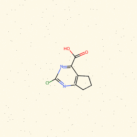 O=C(O)c1nc(Cl)nc2c1CCC2